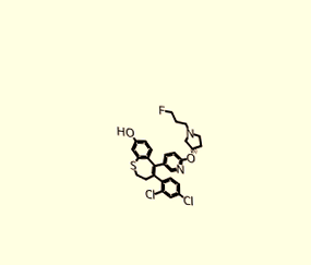 Oc1ccc2c(c1)SCCC(c1ccc(Cl)cc1Cl)=C2c1ccc(O[C@H]2CCN(CCCF)C2)nc1